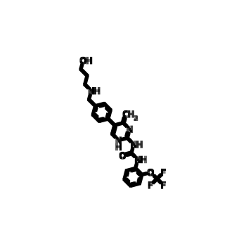 C=C1N=C(NC(=O)Nc2ccccc2OC(F)(F)F)NC=C1c1ccc(CNCCCO)cc1